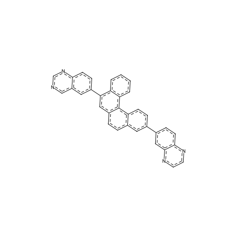 c1ccc2c(c1)c(-c1ccc3ncncc3c1)cc1ccc3cc(-c4ccc5nccnc5c4)ccc3c12